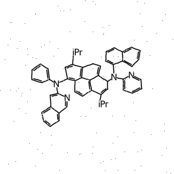 CC(C)C1=CC(N(c2ccccn2)c2cccc3ccccc23)C2=CCc3c(C(C)C)cc(N(c4ccccc4)c4cc5ccccc5cn4)c4ccc1c2c34